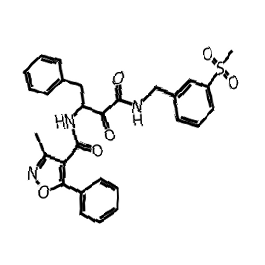 Cc1noc(-c2ccccc2)c1C(=O)NC(Cc1ccccc1)C(=O)C(=O)NCc1cccc(S(C)(=O)=O)c1